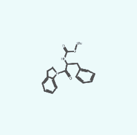 CC(C)(C)OC(=O)NC(Cc1ccccc1)C(=O)N1CCc2ccccc21